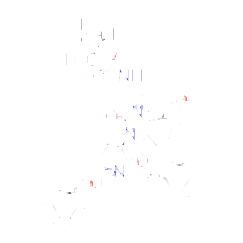 CC(C)(C)OC(=O)NCCn1c(=O)n(-c2ccc(OCc3ccccc3)nc2OCc2ccccc2)c2cccc(C=O)c21